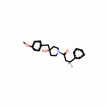 COc1ccc(CC2(O)CCN(C(=O)C[C@@H](C)c3ccccc3)CC2)cc1